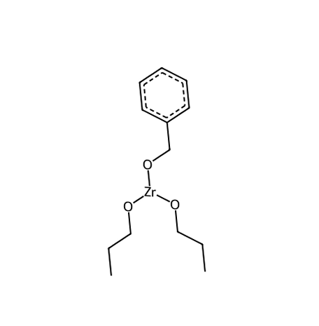 CCC[O][Zr]([O]CCC)[O]Cc1ccccc1